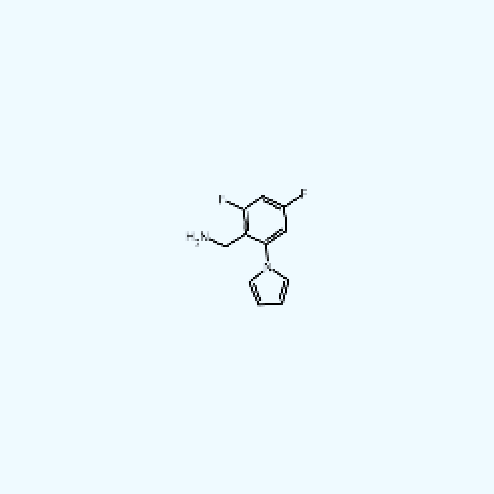 NCc1c(F)cc(F)cc1-n1cccc1